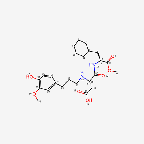 COC(=O)[C@H](CC1CCCCC1)NC(=O)[C@H](CC(=O)O)NCCCc1ccc(O)c(OC)c1